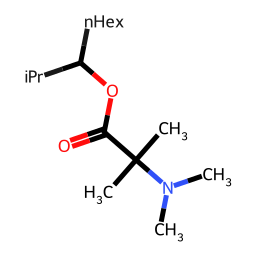 CCCCCCC(OC(=O)C(C)(C)N(C)C)C(C)C